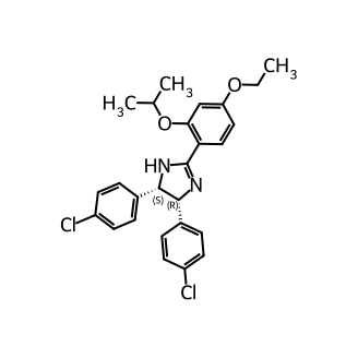 CCOc1ccc(C2=N[C@H](c3ccc(Cl)cc3)[C@H](c3ccc(Cl)cc3)N2)c(OC(C)C)c1